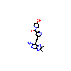 Cc1nc2cnc(N)c(C#Cc3cncc(C(=O)N4CCC(O)CC4)c3)c2nc1C